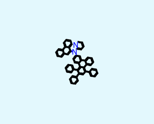 c1ccc(-c2cc(-c3ccccc3)c3c4ccccc4c4cc(N(c5ccccn5)c5cc6ccccc6c6ccccc56)ccc4c3c2-c2ccccc2)cc1